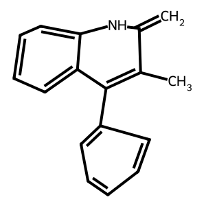 C=C1Nc2ccccc2C(c2ccccc2)=C1C